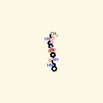 C=CC(=O)Nc1cc2c(o1)CN(S(=O)(=O)c1ccc(NC(=O)c3cc4c([nH]3)CCCC4)cc1)C2